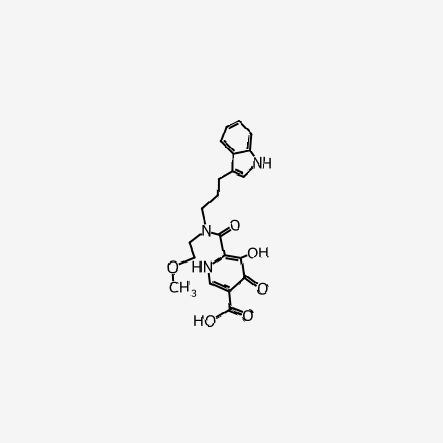 COCCN(CCCc1c[nH]c2ccccc12)C(=O)c1[nH]cc(C(=O)O)c(=O)c1O